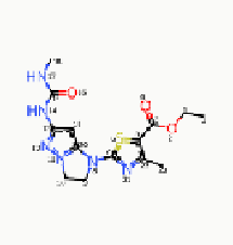 CCOC(=O)c1sc(N2CCn3nc(NC(=O)NC)cc32)nc1C